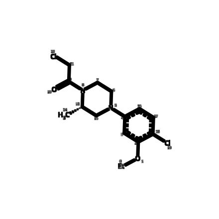 CCOc1cc(N2CCN(C(=O)CCl)[C@@H](C)C2)ccc1Cl